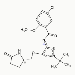 COc1ccc(Cl)cc1C(=O)/N=c1\sn(C(C)(C)C)cc1OC[C@@H]1CCC(=O)N1